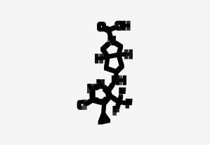 O=C(O)N1C[C@H]2C[C@H](Nc3nnc(Cl)c(C4CC4)c3C(F)(F)F)C[C@H]2C1